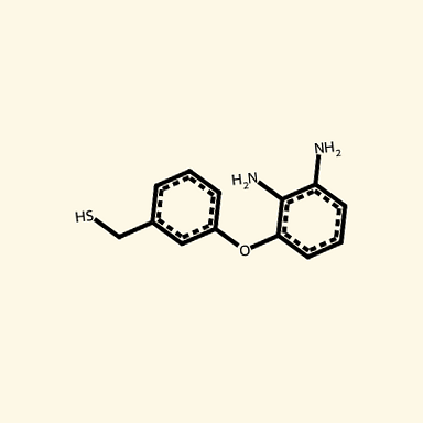 Nc1cccc(Oc2cccc(CS)c2)c1N